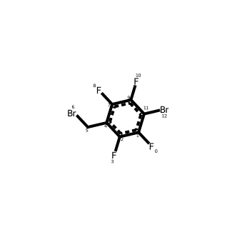 Fc1c(F)c(CBr)c(F)c(F)c1Br